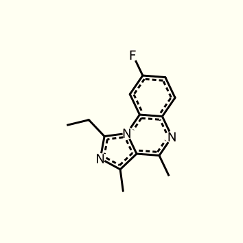 CCc1nc(C)c2c(C)nc3ccc(F)cc3n12